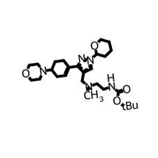 CN(CCNC(=O)OC(C)(C)C)Cc1cn(C2CCCCO2)nc1C1=CCC(N2CCOCC2)CC1